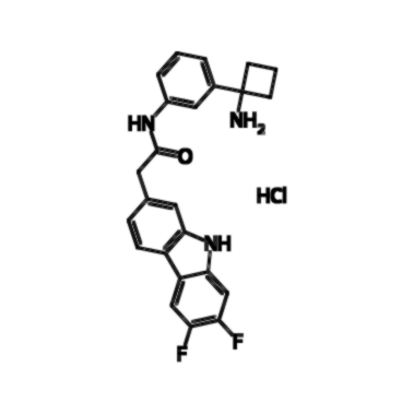 Cl.NC1(c2cccc(NC(=O)Cc3ccc4c(c3)[nH]c3cc(F)c(F)cc34)c2)CCC1